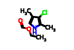 CCOC=O.Cc1c[nH]c(C)c1Cl